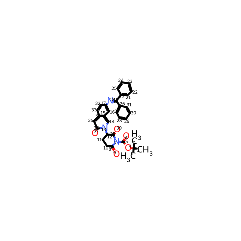 CC(C)(C)OC(=O)N1C(=O)CCC(n2cc3cc(N=C(c4ccccc4)c4ccccc4)ccc3cc2=O)C1=O